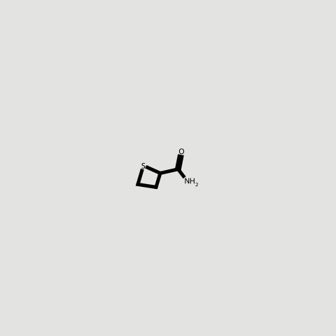 NC(=O)C1CCS1